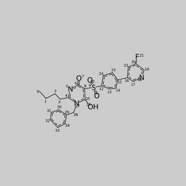 CCCCc1nc(=O)c(S(=O)(=O)c2ccc(-c3cncc(F)c3)cc2)c(O)n1Cc1ccccc1